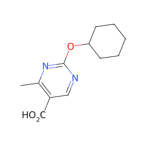 Cc1nc(OC2CCCCC2)ncc1C(=O)O